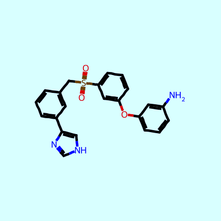 Nc1cccc(Oc2cccc(S(=O)(=O)Cc3cccc(-c4c[nH]cn4)c3)c2)c1